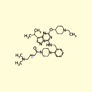 CCN1CCC(Oc2nc(NCc3ccccc3N3CCN(C(=O)/C=C/CN(C)C)CC3)n3ncc(C(C)C)c3n2)CC1